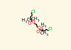 CC(C)(CCCCl)C(=O)OCCCOC(=O)C(C)(C)CCCCl